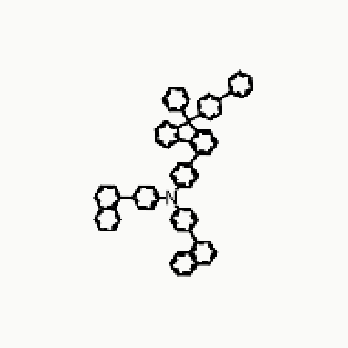 c1ccc(-c2ccc(C3(c4ccccc4)c4ccccc4-c4c(-c5ccc(N(c6ccc(-c7cccc8ccccc78)cc6)c6ccc(-c7cccc8ccccc78)cc6)cc5)cccc43)cc2)cc1